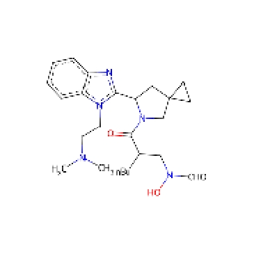 CCCCC(CN(O)C=O)C(=O)N1CC2(CC2)CC1c1nc2ccccc2n1CCN(C)C